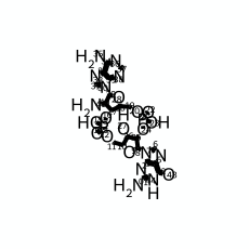 Nc1nc2c(ncn2C2OC3COP(=O)(O)OC4C(COP(=O)(O)OC2C3O)OC(n2cnc3c(N)ncnc32)C4N)c(=O)[nH]1